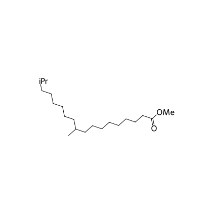 COC(=O)CCCCCCCCC(C)CCCCCCC(C)C